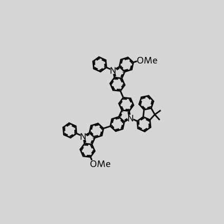 COc1ccc2c(c1)c1cc(-c3ccc4c(c3)c3cc(-c5ccc6c(c5)c5cc(OC)ccc5n6-c5ccccc5)ccc3n4-c3cccc4c3-c3ccccc3C4(C)C)ccc1n2-c1ccccc1